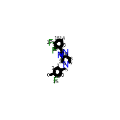 Cc1ccc(Cn2ccc3nc(-c4cccc(F)c4F)nc-3c2)cc1F